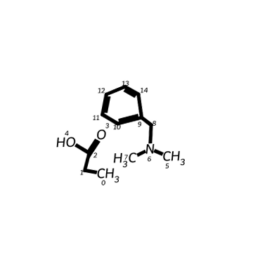 CCC(=O)O.CN(C)Cc1ccccc1